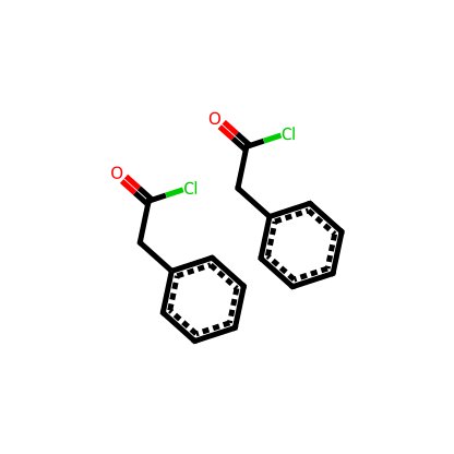 O=C(Cl)Cc1ccccc1.O=C(Cl)Cc1ccccc1